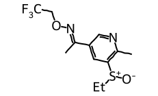 CC[S+]([O-])c1cc(/C(C)=N/OCC(F)(F)F)cnc1C